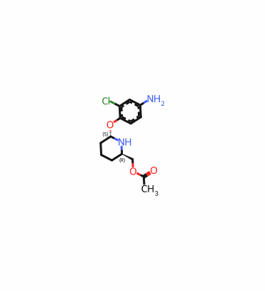 CC(=O)OC[C@H]1CCC[C@H](Oc2ccc(N)cc2Cl)N1